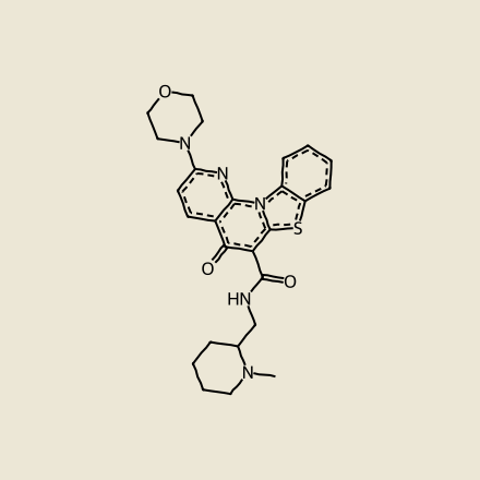 CN1CCCCC1CNC(=O)c1c(=O)c2ccc(N3CCOCC3)nc2n2c1sc1ccccc12